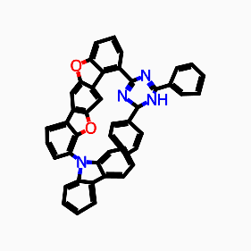 c1ccc(C2=NC(c3cccc4oc5cc6c(cc5c34)oc3c(-n4c5ccccc5c5ccccc54)cccc36)=NC(c3ccccc3)N2)cc1